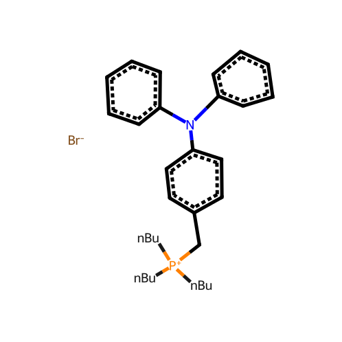 CCCC[P+](CCCC)(CCCC)Cc1ccc(N(c2ccccc2)c2ccccc2)cc1.[Br-]